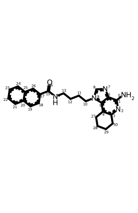 Nc1nc2c(c3c1ncn3CCCCNC(=O)c1ccc3ccccc3c1)CCCC2